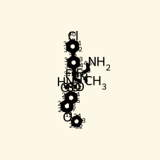 CN(CCCN)C(=O)[C@H](NS(=O)(=O)c1ccc2cc(OC3CCCC3)ccc2c1)C(F)(F)c1ccc(-c2ccc(Cl)cc2)cc1